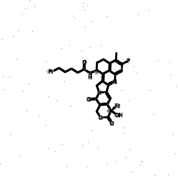 CC[C@@]1(O)C(=O)OCc2c1cc1n(c2=O)Cc2c-1nc1cc(F)c(C)c3c1c2[C@@H](NC(=O)CCCCC(C)C)CC3